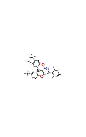 Cc1cc(C)c(-c2cc3c4c(n2)Oc2cc5c(cc2B4c2cc(C(C)(C)C)ccc2O3)C(C)(C)CC5(C)C)c(C)c1